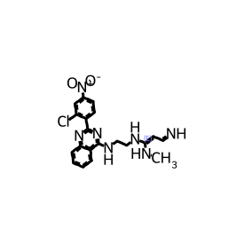 CN/C(=C\C=N)NCCNc1nc(-c2ccc([N+](=O)[O-])cc2Cl)nc2ccccc12